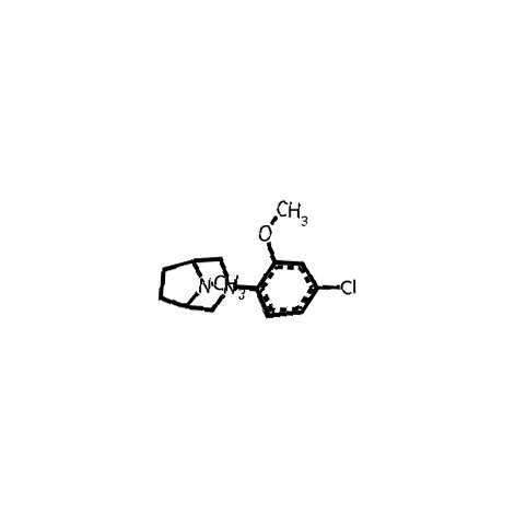 COc1cc(Cl)ccc1N1CC2CCC(C1)N2C